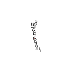 Nc1ccc(N2CCC3(CCN(CCC4CCN(c5ccc6c(c5)CN(C5CCC(=O)NC5=O)C6=O)CC4)CC3)CC2)cc1